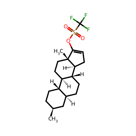 C[C@H]1CC[C@H]2[C@@H](CC[C@@H]3[C@@H]2CC[C@]2(C)C(OS(=O)(=O)C(F)(F)F)=CC[C@@H]32)C1